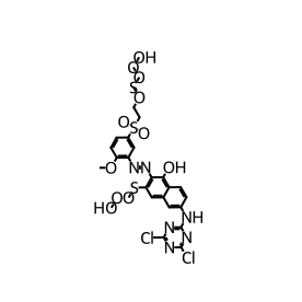 COc1ccc(S(=O)(=O)CCOSOOO)cc1/N=N/c1c(SOOO)cc2cc(Nc3nc(Cl)nc(Cl)n3)ccc2c1O